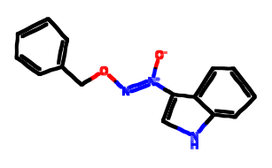 [O-][N+](=NOCc1ccccc1)c1c[nH]c2ccccc12